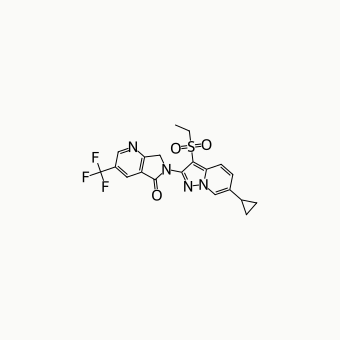 CCS(=O)(=O)c1c(N2Cc3ncc(C(F)(F)F)cc3C2=O)nn2cc(C3CC3)ccc12